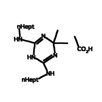 CC(=O)O.CCCCCCCNC1=NC(C)(C)N=C(NCCCCCCC)N1